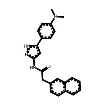 CN(C)c1ccc(-c2cc(NC(=O)Cc3ccc4ccccc4c3)n[nH]2)cc1